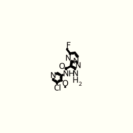 COc1c(Cl)cncc1NC(=O)c1c(N)nn2ccc(CF)nc12